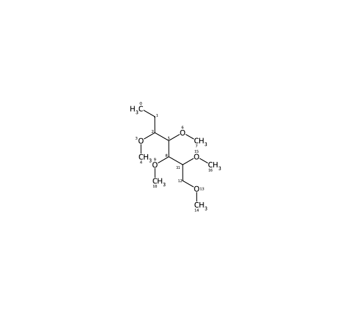 CCC(OC)C(OC)C(OC)C(COC)OC